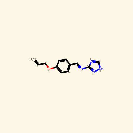 C=CCOc1ccc(C=Nc2nc[nH]n2)cc1